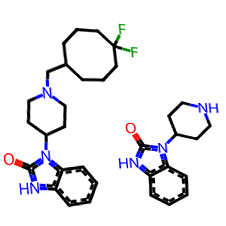 O=c1[nH]c2ccccc2n1C1CCN(CC2CCCC(F)(F)CCC2)CC1.O=c1[nH]c2ccccc2n1C1CCNCC1